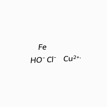 [Cl-].[Cu+2].[Fe].[OH-]